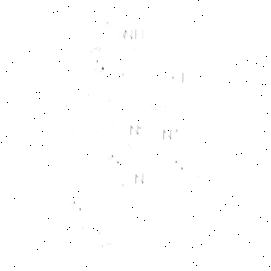 CCOc1nc(N)c2nc(-c3cncc(F)c3)n(CC3=CCC(CN4CC5CC4CN5)C=C3)c2n1